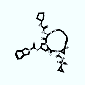 O=C(NC1CCCC1)N[C@H]1CCCCC/C=C/[C@@H]2C[C@@]2(C(=O)NS(=O)(=O)C2CC2)NC(=O)[C@@H]2C[C@@H](OC(=O)N3Cc4ccccc4C3)CN2C1=O